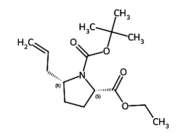 C=CC[C@H]1CC[C@@H](C(=O)OCC)N1C(=O)OC(C)(C)C